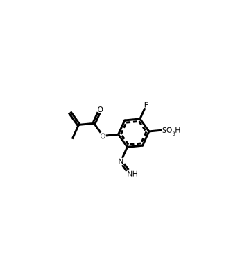 C=C(C)C(=O)Oc1cc(F)c(S(=O)(=O)O)cc1N=N